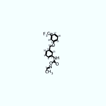 CC=NOC(=O)Nc1cccc(COc2cccc(C(F)(F)F)c2)c1